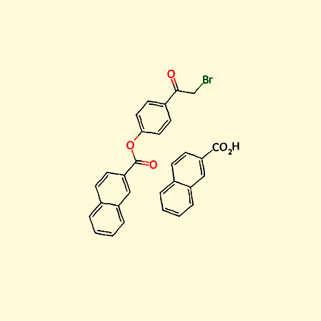 O=C(CBr)c1ccc(OC(=O)c2ccc3ccccc3c2)cc1.O=C(O)c1ccc2ccccc2c1